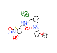 CCOc1ccccc1CNCc1cccc(CCNC(O)Cc2ccc(O)c3[nH]c(=O)sc23)c1.Cl.Cl